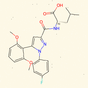 COc1cccc(OC)c1-c1cc(C(=O)N[C@@H](CC(C)C)C(=O)O)nn1-c1ccc(F)cc1